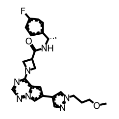 COCCCn1cc(-c2cc3c(N4CC(C(=O)N[C@@H](C)c5ccc(F)cc5)C4)ncnn3c2)cn1